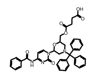 O=C(O)CCC(=O)OCC1CN(C(c2ccccc2)(c2ccccc2)c2ccccc2)CC(n2ccc(NC(=O)c3ccccc3)nc2=O)O1